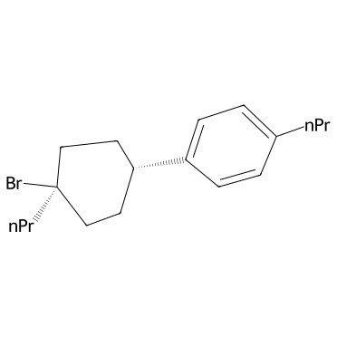 CCCc1ccc([C@H]2CC[C@@](Br)(CCC)CC2)cc1